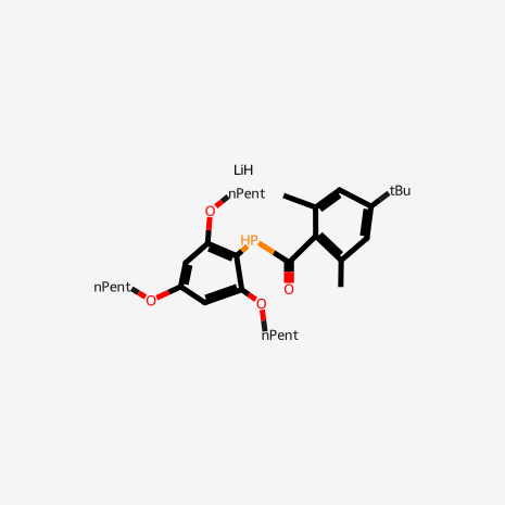 CCCCCOc1cc(OCCCCC)c(PC(=O)c2c(C)cc(C(C)(C)C)cc2C)c(OCCCCC)c1.[LiH]